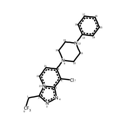 FC(F)(F)Cc1nnc2c(Cl)c(N3CCN(c4ccccc4)CC3)ccn12